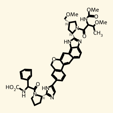 COC[C@H]1C[C@@H](c2nc3ccc4cc5c(cc4c3[nH]2)OCc2cc(-c3cnc([C@@H]4CCCN4C(=O)C(NC(=O)O)c4ccccc4)[nH]3)ccc2-5)N(C(=O)C(NC(=O)OC)C(C)OC)C1